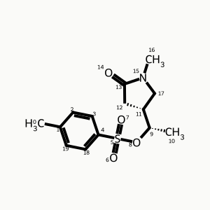 Cc1ccc(S(=O)(=O)O[C@@H](C)[C@@H]2CC(=O)N(C)C2)cc1